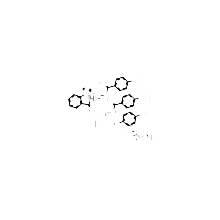 CCCCOC(=O)c1ccc(O)cc1.CCCOC(=O)c1ccc(O)cc1.CCOC(=O)c1ccc(O)cc1.O.O=C1NS(=O)(=O)c2ccccc21.[MgH2].[NaH]